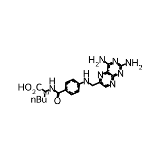 CCCC[C@H](NC(=O)c1ccc(NCc2cnc3nc(N)nc(N)c3n2)cc1)C(=O)O